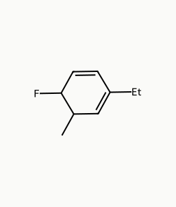 CCC1=CC(C)C(F)C=C1